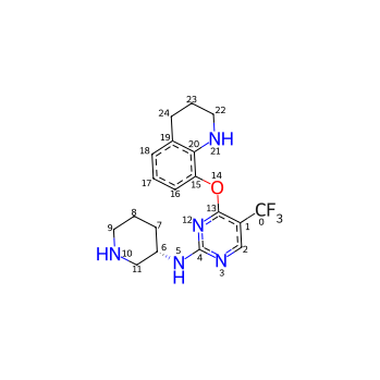 FC(F)(F)c1cnc(N[C@H]2CCCNC2)nc1Oc1cccc2c1NCCC2